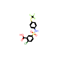 O=C(O)c1cc(S(=O)(=O)Nc2ccc(SC(F)(F)F)cc2)ccc1Cl